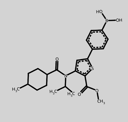 COC(=O)c1sc(-c2ccc(B(O)O)cc2)cc1N(C(=O)C1CCC(C)CC1)C(C)C